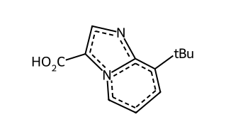 CC(C)(C)c1cccn2c(C(=O)O)cnc12